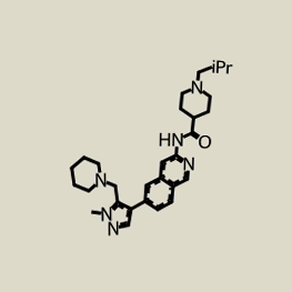 CC(C)CN1CCC(C(=O)Nc2cc3cc(-c4cnn(C)c4CN4CCCCC4)ccc3cn2)CC1